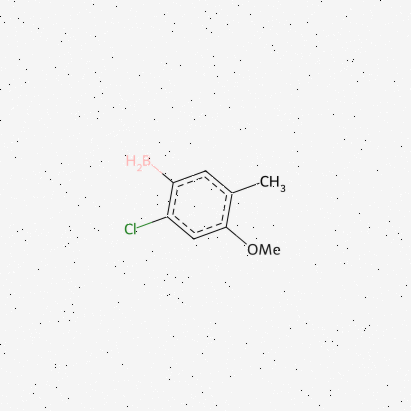 Bc1cc(C)c(OC)cc1Cl